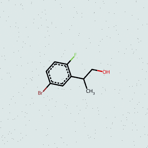 CC(CO)c1cc(Br)ccc1F